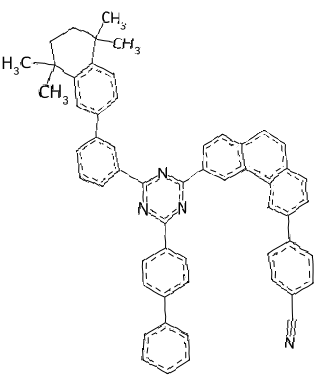 CC1(C)CCC(C)(C)c2cc(-c3cccc(-c4nc(-c5ccc(-c6ccccc6)cc5)nc(-c5ccc6ccc7ccc(-c8ccc(C#N)cc8)cc7c6c5)n4)c3)ccc21